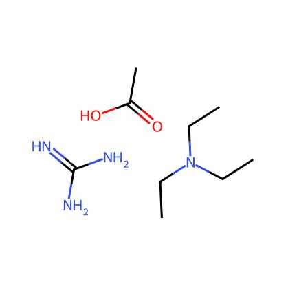 CC(=O)O.CCN(CC)CC.N=C(N)N